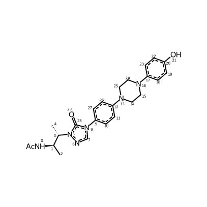 CC(=O)N[C@H](C)[C@H](C)n1ncn(-c2ccc(N3CCN(c4ccc(O)cc4)CC3)cc2)c1=O